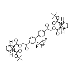 CC(C)(C)OC(=O)N1[C@@H]2CC[C@@H](C2)[C@H]1C(=O)OCC(=O)c1ccc2c(c1)C(F)(F)C(F)(F)c1cc(C(=O)COC(=O)[C@@H]3[C@H]4CC[C@H](C4)N3C(=O)OC(C)(C)C)ccc1-2